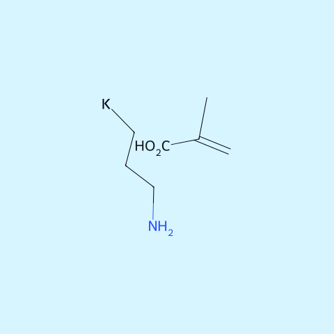 C=C(C)C(=O)O.NCC[CH2][K]